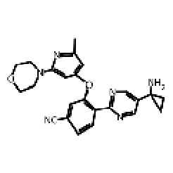 Cc1cc(Oc2cc(C#N)ccc2-c2ncc(C3(N)CC3)cn2)cc(N2CCOCC2)n1